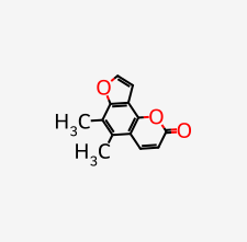 Cc1c(C)c2occc2c2oc(=O)ccc12